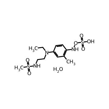 CCN(CCNS(C)(=O)=O)c1ccc(NOS(=O)(=O)O)c(C)c1.O